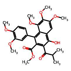 COC(=O)c1c(C(=O)C(C)C)c(O)c2cc(OC)c(OC)c(OC)c2c1-c1ccc(OC)c(OC)c1